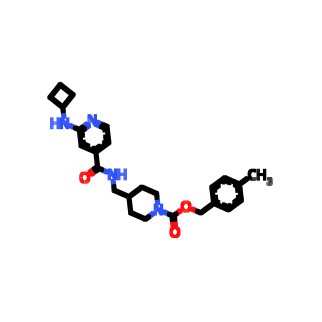 Cc1ccc(COC(=O)N2CCC(CNC(=O)c3ccnc(NC4CCC4)c3)CC2)cc1